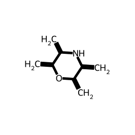 C=C1NC(=C)C(=C)OC1=C